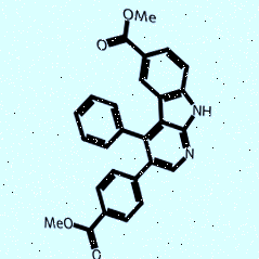 COC(=O)c1ccc(-c2cnc3[nH]c4ccc(C(=O)OC)cc4c3c2-c2ccccc2)cc1